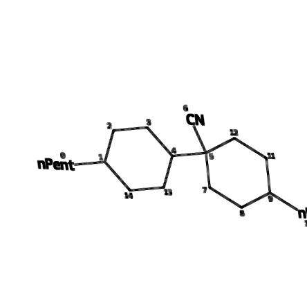 CCCCCC1CCC(C2(C#N)CCC(CCCC)CC2)CC1